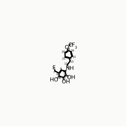 O[C@@H]1[C@@H](O)[C@@H](O)C(CF)=C[C@H]1NCCc1ccc(OC(F)(F)F)cc1